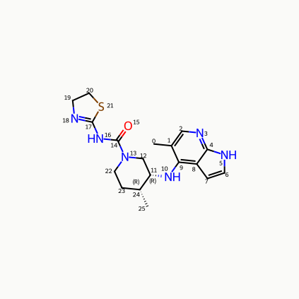 Cc1cnc2[nH]ccc2c1N[C@H]1CN(C(=O)NC2=NCCS2)CC[C@H]1C